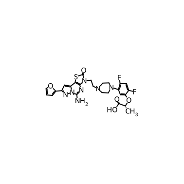 C[C@@H](Oc1cc(N2CCN(CCn3c(=O)sc4c3nc(N)n3nc(-c5ccco5)cc43)CC2)c(F)cc1F)C(=O)O